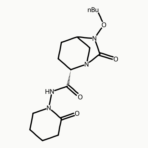 CCCCON1C(=O)N2CC1CC[C@H]2C(=O)NN1CCCCC1=O